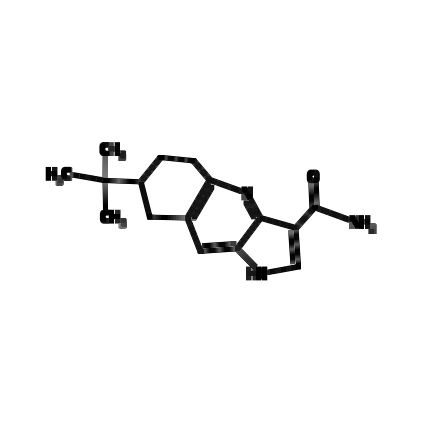 CC(C)(C)C1CCc2nc3c(C(N)=O)c[nH]c3cc2C1